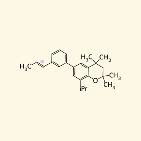 C/C=C/c1cccc(-c2cc(C(C)C)c3c(c2)C(C)(C)CC(C)(C)O3)c1